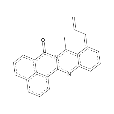 C=C/C=c1/cccc2nc3c4cccc5cccc(c(=O)n3c(C)c12)c54